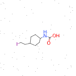 O=C(O)NC1CCC(CCI)CC1